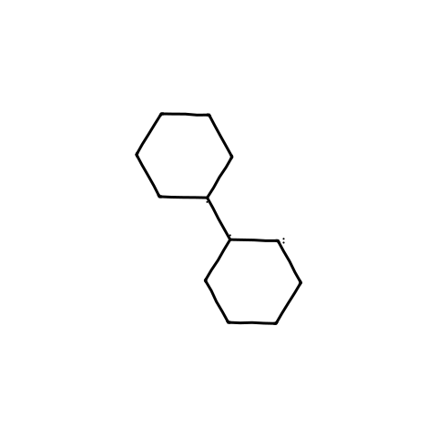 [C]1CCCC[C]1[C]1CCCCC1